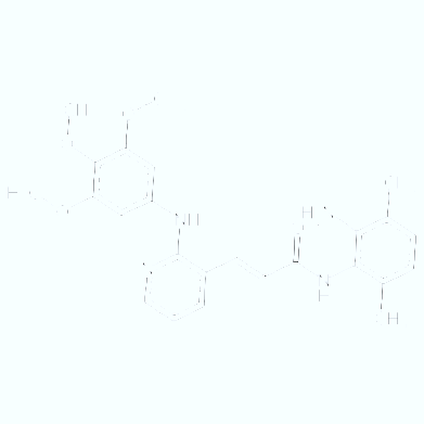 COc1cc(Nc2ncccc2/C=C/C(=O)Nc2c(C)ccc(C)c2N)cc(OC)c1OC